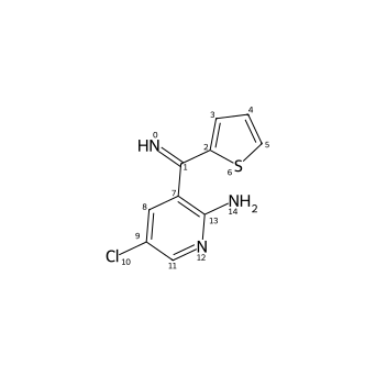 N=C(c1cccs1)c1cc(Cl)cnc1N